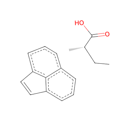 C1=Cc2cccc3cccc1c23.CC[C@H](C)C(=O)O